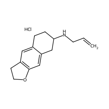 C=CCNC1CCc2cc3c(cc2C1)OCC3.Cl